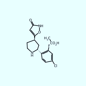 CC(=O)O.O=c1cc([C@@H]2CCN[C@@H](c3ccc(Cl)cc3F)C2)o[nH]1